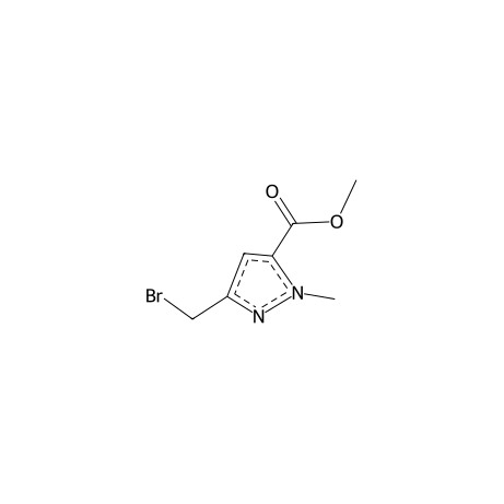 COC(=O)c1cc(CBr)nn1C